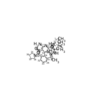 CCCCOc1nc(N)c([N+](=O)[O-])c(-c2c(CN3CCCC3)cccc2C(C)NNC(=O)OC(C)(C)C)n1